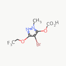 Cn1nc(OCC(F)(F)F)c(Br)c1OC(=O)O